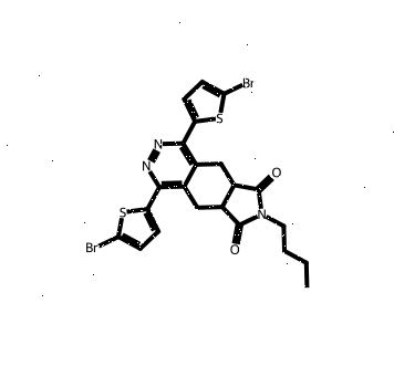 CCCCN1C(=O)C2Cc3c(-c4ccc(Br)s4)nnc(-c4ccc(Br)s4)c3CC2C1=O